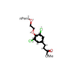 CCCCCOCCOc1c(Cl)cc(CCC(=O)OC)cc1Cl